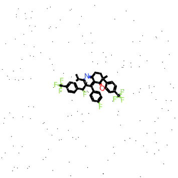 CC(C)c1nc2c(c(-c3ccc(F)cc3)c1C(F)c1ccc(C(F)(F)F)cc1)C(=O)C(C)(c1ccc(C(F)(F)F)cc1)CC2